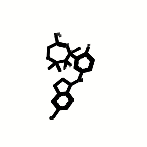 CC1(C)OCC(N)=N[C@](C)(c2cc(NC3CCc4cc(Cl)cnc43)ccc2F)C1(F)F